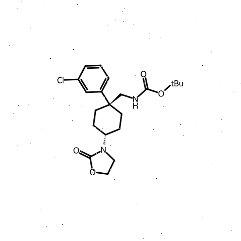 CC(C)(C)OC(=O)NC[C@]1(c2cccc(Cl)c2)CC[C@@H](N2CCOC2=O)CC1